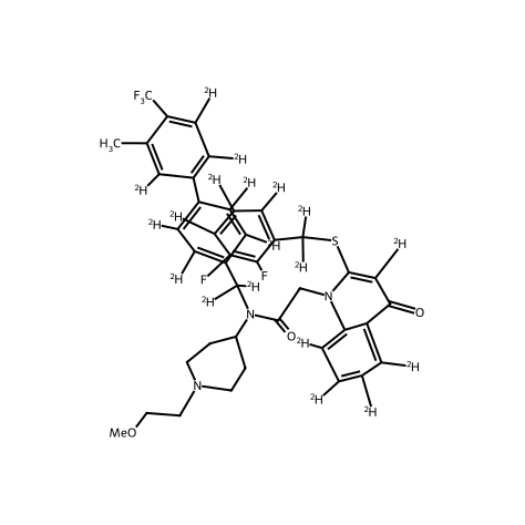 [2H]c1c([2H])c(F)c(F)c(C([2H])([2H])Sc2c([2H])c(=O)c3c([2H])c([2H])c([2H])c([2H])c3n2CC(=O)N(C2CCN(CCOC)CC2)C([2H])([2H])c2c([2H])c([2H])c(-c3c([2H])c([2H])c(C(F)(F)F)c(C)c3[2H])c([2H])c2[2H])c1[2H]